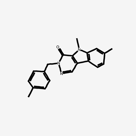 Cc1ccc(Cn2ncc3c4ccc(C)cc4n(C)c3c2=O)cc1